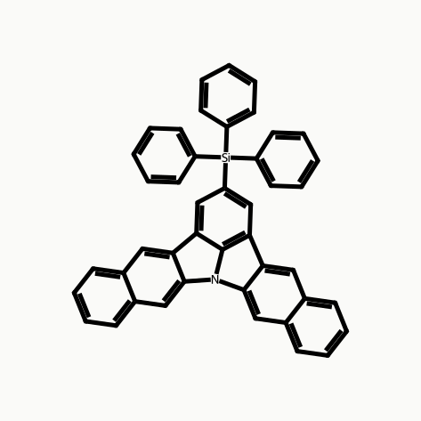 c1ccc([Si](c2ccccc2)(c2ccccc2)c2cc3c4cc5ccccc5cc4n4c5cc6ccccc6cc5c(c2)c34)cc1